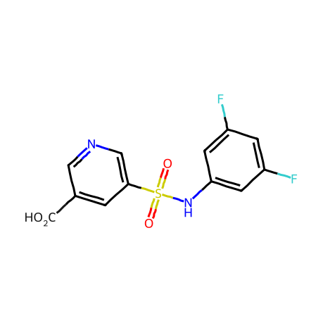 O=C(O)c1cncc(S(=O)(=O)Nc2cc(F)cc(F)c2)c1